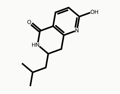 CC(C)CC1Cc2nc(O)ccc2C(=O)N1